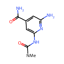 CNC(=O)Nc1cc(C(N)=O)cc(N)n1